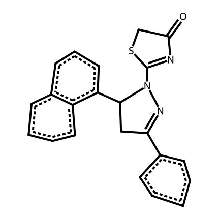 O=C1CSC(N2N=C(c3ccccc3)CC2c2cccc3ccccc23)=N1